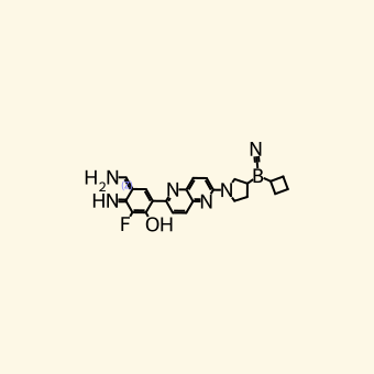 N#CB(C1CCC1)C1CCN(c2ccc3nc(C4=C/C(=C/N)C(=N)C(F)=C4O)ccc3n2)C1